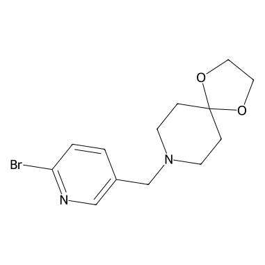 Brc1ccc(CN2CCC3(CC2)OCCO3)cn1